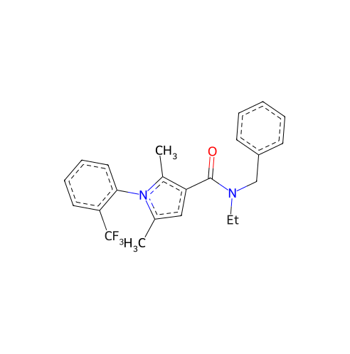 CCN(Cc1ccccc1)C(=O)c1cc(C)n(-c2ccccc2C(F)(F)F)c1C